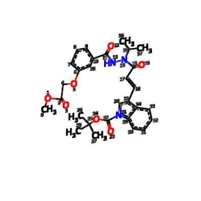 COC(=O)COc1cccc(C(=O)NN(C(=O)/C=C/c2cn(C(=O)OC(C)(C)C)c3ccccc23)C(C)C)c1